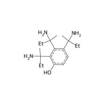 CCC(C)(N)c1ccc(O)c(C(C)(N)CC)c1C(C)(N)CC